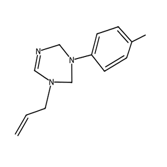 C=CCN1C=NCN(c2ccc(C)cc2)C1